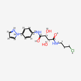 O=C(NCCCCl)[C@H](O)[C@@H](O)C(=O)Nc1ccc(-n2cccn2)cc1